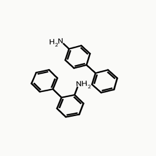 Nc1ccc(-c2ccccc2)cc1.Nc1ccccc1-c1ccccc1